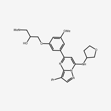 CNCC(O)COc1cc(OC)cc(-c2cc(NC3CCOC3)n3ncc(C(C)C)c3n2)c1